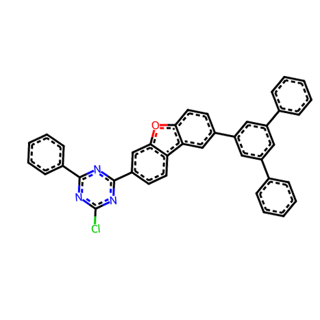 Clc1nc(-c2ccccc2)nc(-c2ccc3c(c2)oc2ccc(-c4cc(-c5ccccc5)cc(-c5ccccc5)c4)cc23)n1